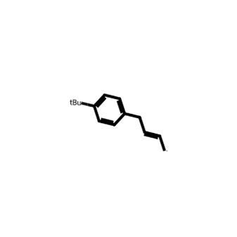 [CH2]C=CCc1ccc(C(C)(C)C)cc1